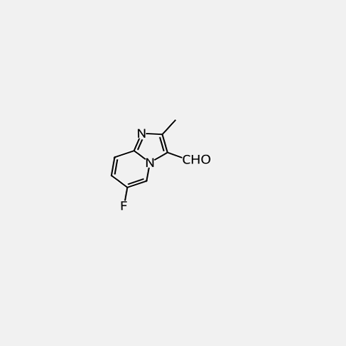 Cc1nc2ccc(F)cn2c1C=O